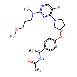 COCCCN(C)c1ncc(F)c(N2CC[C@@H](Oc3ccc([C@H](C)NC(C)=O)cc3)C2)n1